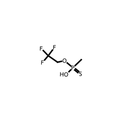 CP(O)(=S)OCC(F)(F)F